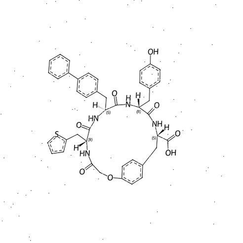 O=C1COc2ccc(cc2)C[C@@H](C(=O)O)NC(=O)[C@@H](Cc2ccc(O)cc2)NC(=O)[C@H](Cc2ccc(-c3ccccc3)cc2)NC(=O)[C@@H](Cc2cccs2)N1